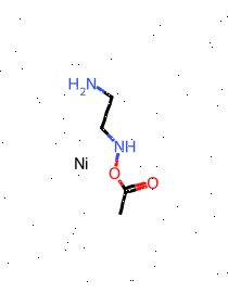 CC(=O)ONCCN.[Ni]